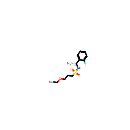 C[C@@H](NS(=O)(=O)CCCOCC(C)(C)C)c1ccccc1F